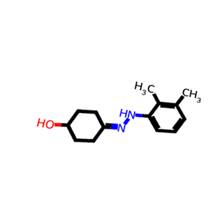 Cc1cccc(NN=C2CCC(O)CC2)c1C